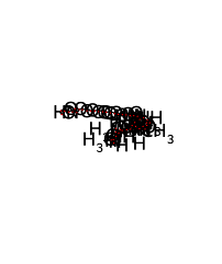 Cn1cc(NC(=O)c2nccn2C)cc1C(=O)NCCC(=O)Nc1cn(C)c(C(=O)Nc2cc(C(=O)NC3(CC(=O)Nc4cn(C)c(C(=O)NCCOCCOCCOCCOCCOCCOCCOCCOCCOc5ccc(NC(=O)OCc6ccccc6)cc5)n4)CC3)n(C)c2)n1